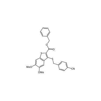 COc1cc2sc(C(=O)OCc3ccccc3)c(SCc3ccc(C#N)cc3)c2cc1OC